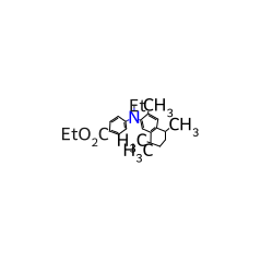 CCOC(=O)c1ccc(N(CC)c2cc3c(cc2C)C(C)CCC3(C)C)cc1